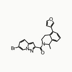 CC1c2cccc(-c3ccoc3)c2CCN1C(=O)c1cc2ccc(Br)cn2n1